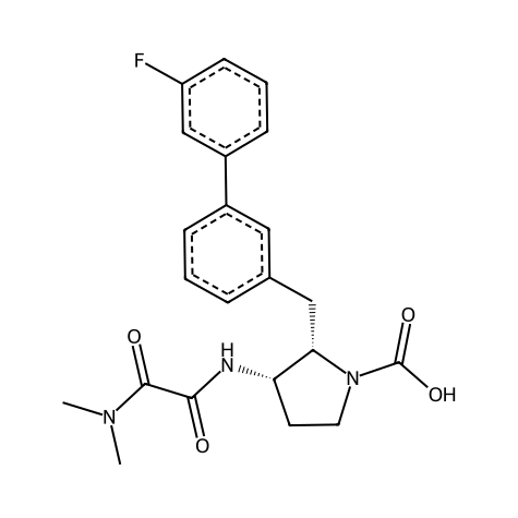 CN(C)C(=O)C(=O)N[C@H]1CCN(C(=O)O)[C@H]1Cc1cccc(-c2cccc(F)c2)c1